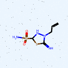 C=CCN1NC(S(N)(=O)=O)SC1=N